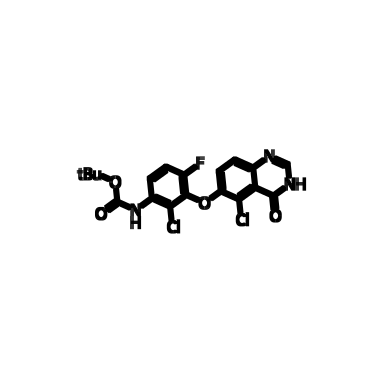 CC(C)(C)OC(=O)Nc1ccc(F)c(Oc2ccc3nc[nH]c(=O)c3c2Cl)c1Cl